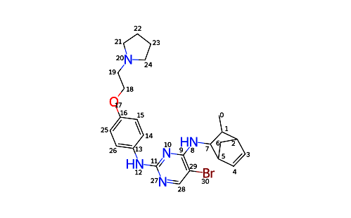 CC1C2C=CC(C2)C1Nc1nc(Nc2ccc(OCCN3CCCC3)cc2)ncc1Br